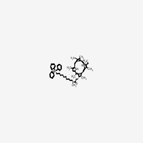 CCC1=C(C)c2cc3[nH]c(cc4nc(c(C)c5cc(C)c(cc1n2)[nH]5)[C@@H](CCC(=O)N(C)CCCCCCCCCC[PH](c1ccccc1)(c1ccccc1)c1ccccc1)[C@@H]4C)c(C)c3CC